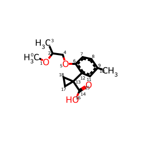 COC(C)COc1ccc(C)cc1C1(C(=O)O)CC1